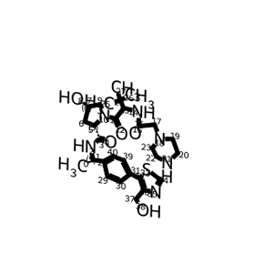 C[C@H](NC(=O)[C@@H]1C[C@@H](O)CN1C(=O)C(NC(=O)CN1CCNCC1)C(C)(C)C)c1ccc(-c2scnc2CO)cc1